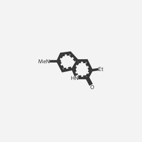 CCc1cc2ccc(NC)cc2[nH]c1=O